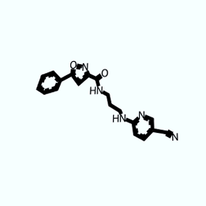 N#Cc1ccc(NCCCNC(=O)c2cc(-c3ccccc3)on2)nc1